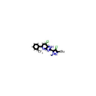 Cn1nc(C(C)(C)C)c(Cl)c1-c1nc2nc(-c3ccccc3C(F)(F)F)cc(Cl)c2[nH]1